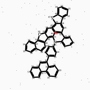 c1ccc(N(c2ccc(-c3cc4ccccc4c4ccccc34)cc2)c2cccc3oc4c5ccccc5ccc4c23)c(-c2ccc3sc4ccccc4c3c2)c1